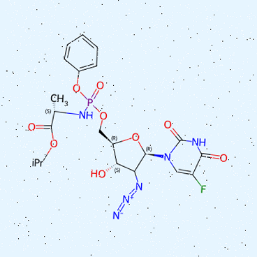 CC(C)OC(=O)[C@H](C)NP(=O)(OC[C@H]1O[C@@H](n2cc(F)c(=O)[nH]c2=O)C(N=[N+]=[N-])[C@@H]1O)Oc1ccccc1